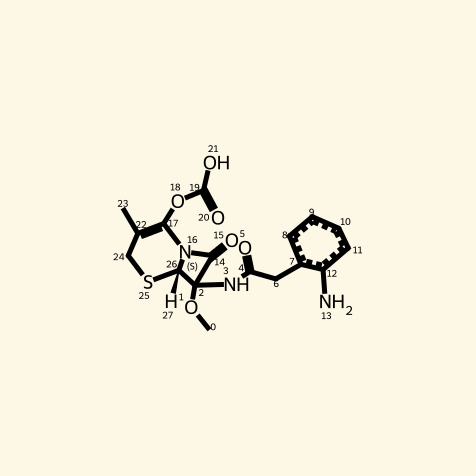 COC1(NC(=O)Cc2ccccc2N)C(=O)N2C(OC(=O)O)=C(C)CS[C@H]21